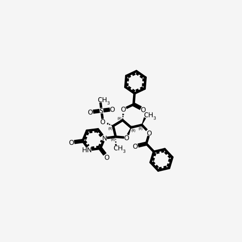 C[C@@H](OC(=O)c1ccccc1)[C@H]1O[C@@](C)(n2ccc(=O)[nH]c2=O)[C@H](OS(C)(=O)=O)[C@@H]1OC(=O)c1ccccc1